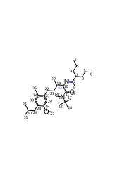 CCCC(CCC)/C(C)=N/C(C(=O)N(C)C(C)(C)C)=C(\C)CCc1cc(OC)c(CC(C)C)cc1C